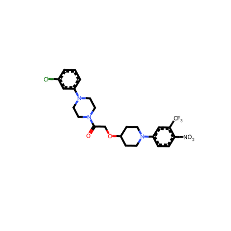 O=C(COC1CCN(c2ccc([N+](=O)[O-])c(C(F)(F)F)c2)CC1)N1CCN(c2cccc(Cl)c2)CC1